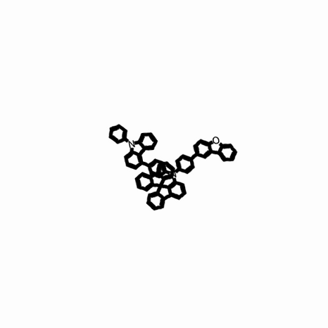 c1ccc(-n2c3ccccc3c3c(-c4ccc(N(c5ccc(-c6ccc7oc8ccccc8c7c6)cc5)c5cccc6c5C5(c7ccccc7-c7ccccc75)c5ccccc5-6)cc4)cccc32)cc1